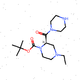 CCN1CCN(C(=O)OC(C)(C)C)[C@@H](C(=O)N2CCNCC2)C1